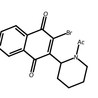 CC(=O)N1CCCCC1C1=C(Br)C(=O)c2ccccc2C1=O